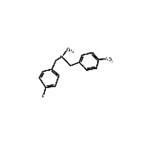 CN(Cc1ccc(F)cc1)Cc1ccc([N+](=O)[O-])cc1